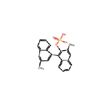 COc1cc(-c2c(OP(=O)(O)O)c(OC)cc3ccccc23)c2ccccc2c1